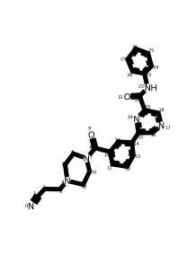 N#CCCN1CCN(C(=O)c2cccc(-c3cncc(C(=O)Nc4ccccc4)n3)c2)CC1